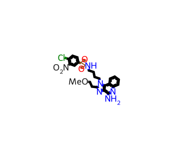 COCCc1nc2c(N)nc3ccccc3c2n1CCCCNS(=O)(=O)c1ccc(Cl)c([N+](=O)[O-])c1